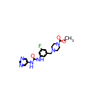 COC(=O)N1CCN(Cc2cc(F)cc(NC(=O)Nc3cncnc3)c2)CC1